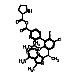 Cc1nc([C@@H](C)c2cc(Cl)c(F)c(-c3ccc(C(=O)OC(=O)[C@H]4CCCN4)nc3)c2OC(C)C)n2ccnc(N)c12